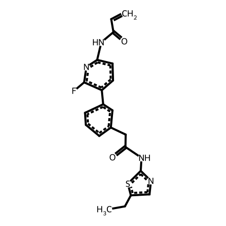 C=CC(=O)Nc1ccc(-c2cccc(CC(=O)Nc3ncc(CC)s3)c2)c(F)n1